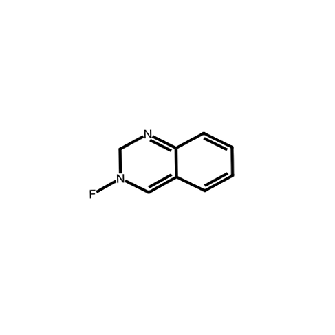 FN1C=c2ccccc2=NC1